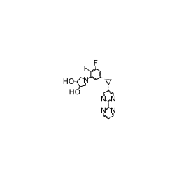 O[C@@H]1CN(c2cc([C@@H]3C[C@@H]3c3cnc(-c4ncccn4)nc3)cc(F)c2F)C[C@H]1O